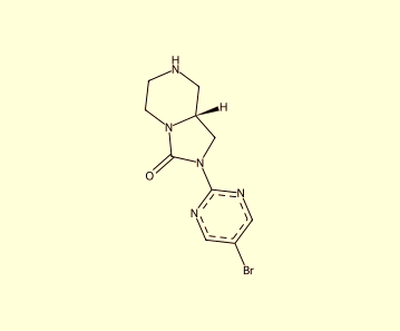 O=C1N(c2ncc(Br)cn2)C[C@H]2CNCCN12